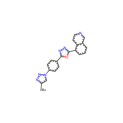 CCCCc1cn(-c2ccc(-c3nnc(-c4cccc5cnccc45)o3)cc2)nn1